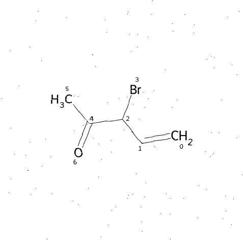 C=CC(Br)C(C)=O